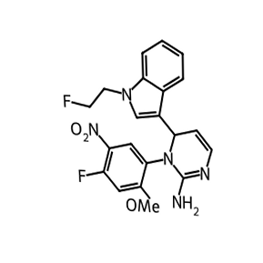 COc1cc(F)c([N+](=O)[O-])cc1N1C(N)=NC=CC1c1cn(CCF)c2ccccc12